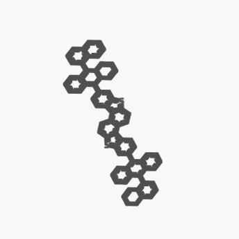 C1=CC2C(c3ccc4c(c3)sc3ccc5c(ccc6sc7cc(-c8c9ccccc9c(-c9cccc%10c9C=CCC%10)c9ccccc89)ccc7c65)c34)=c3ccccc3=C(c3cccc4ccccc34)C2C=C1